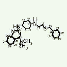 CN(C)c1nc(N[C@H]2CC[C@@H](NCCSCc3ccccc3)CC2)nc2ccccc12